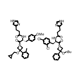 CCCCOC1(c2ccccc2)CN(C(=O)[C@@H](Cc2ccc(Cl)cc2Cl)NC(=O)CCc2c[nH]cn2)C1.COc1ccc(C[C@@H](NC(=O)CCc2c[nH]cn2)C(=O)N2CC(OCC3CC3)(c3ccccc3C)C2)cc1